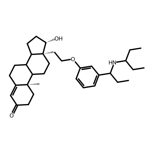 CCC(CC)NC(CC)c1cccc(OCC[C@]23CCC4C(CCC5=CC(=O)CC[C@@]54C)C2CC[C@@H]3O)c1